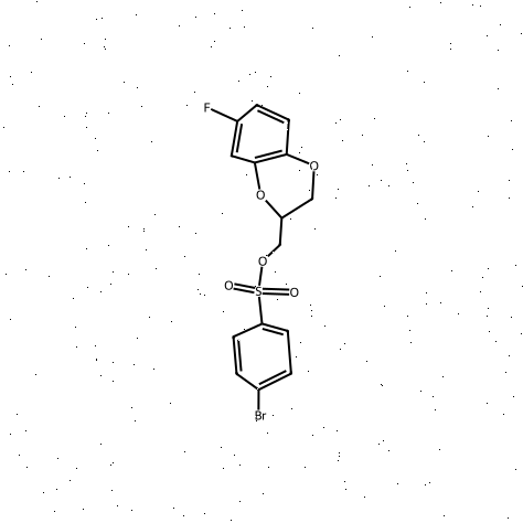 O=S(=O)(OCC1COc2ccc(F)cc2O1)c1ccc(Br)cc1